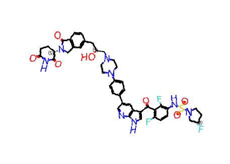 O=C1CC[C@H](N2Cc3cc(C[C@H](O)CN4CCN(c5ccc(-c6cnc7[nH]cc(C(=O)c8c(F)ccc(NS(=O)(=O)N9CC[C@@H](F)C9)c8F)c7c6)cc5)CC4)ccc3C2=O)C(=O)N1